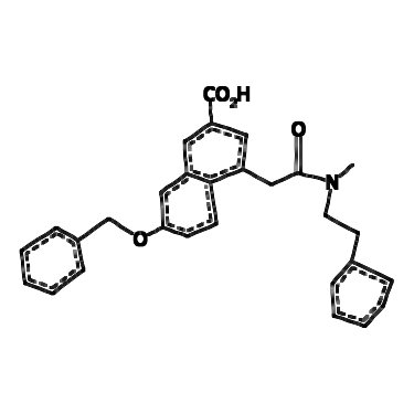 CN(CCc1ccccc1)C(=O)Cc1cc(C(=O)O)cc2cc(OCc3ccccc3)ccc12